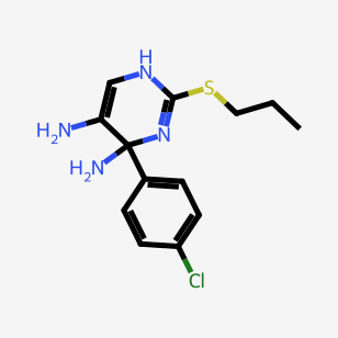 CCCSC1=NC(N)(c2ccc(Cl)cc2)C(N)=CN1